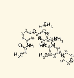 C=CC(=O)Nc1cccc(Oc2nc(Nc3ccc(N4CCOCC4)cc3C)c(C(N)=O)nc2CC)c1